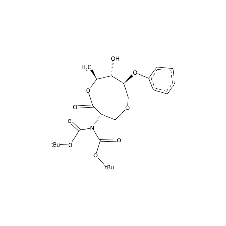 C[C@@H]1OC(=O)[C@@H](N(C(=O)OC(C)(C)C)C(=O)OC(C)(C)C)COC[C@H](Oc2ccccc2)[C@H]1O